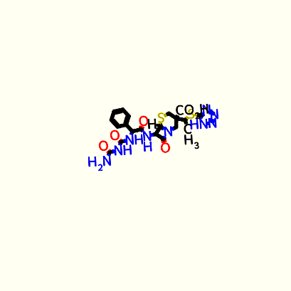 CC(Sc1nnn[nH]1)C1(C(=O)O)CS[C@@H]2C(NC(=O)C(NC(=O)NC(N)=O)c3ccccc3)C(=O)N2C1